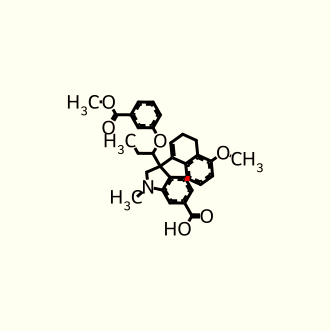 CCC(Oc1cccc(C(=O)OC)c1)C1(C2=CCCc3c(OC)cccc32)CN(C)c2cc(C(=O)O)ccc21